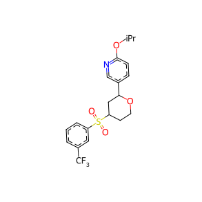 CC(C)Oc1ccc(C2CC(S(=O)(=O)c3cccc(C(F)(F)F)c3)CCO2)cn1